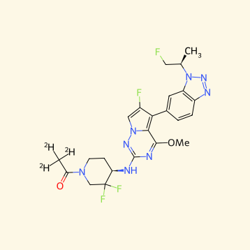 [2H]C([2H])([2H])C(=O)N1CC[C@@H](Nc2nc(OC)c3c(-c4ccc5nnn([C@H](C)CF)c5c4)c(F)cn3n2)C(F)(F)C1